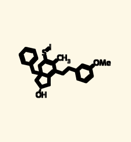 COc1cccc(CCC2=C3C[C@H](O)CC3(Cc3ccccc3)CC(SI)=C2C)c1